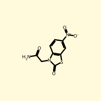 NC(=O)Cn1c(=O)sc2cc([N+](=O)[O-])ccc21